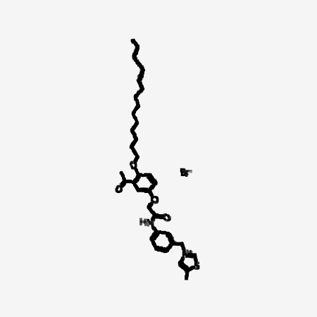 CCCCCCCCCCCCCCOc1ccc(OCC(=O)Nc2cccc(C[n+]3csc(C)c3)c2)cc1C(C)=O.[Br-]